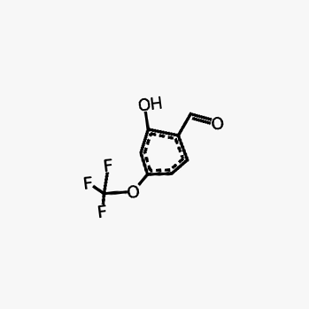 O=Cc1ccc(OC(F)(F)F)cc1O